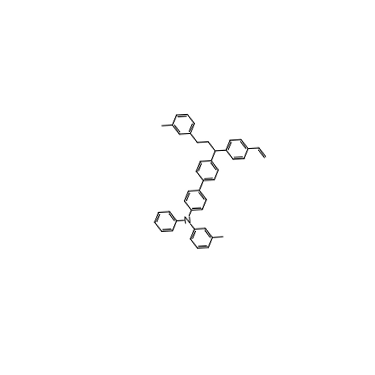 C=Cc1ccc(C(CCc2cccc(C)c2)c2ccc(-c3ccc(N(c4ccccc4)c4cccc(C)c4)cc3)cc2)cc1